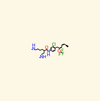 C#C/C=C\C=C(/Cc1ccc(NC(=O)C(CCCCNC)CCNC)cc1Cl)OC(F)(F)F